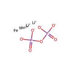 O=P([O-])([O-])OP(=O)([O-])[O-].[Fe].[Li+].[Li+].[Mn+2]